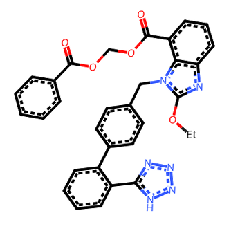 CCOc1nc2cccc(C(=O)OCOC(=O)c3ccccc3)c2n1Cc1ccc(-c2ccccc2-c2nnn[nH]2)cc1